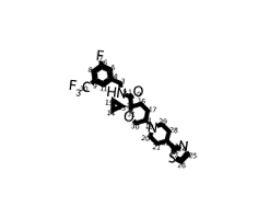 O=C(NCc1cc(F)cc(C(F)(F)F)c1)[C@@]1(C2CC2)CC[C@@H](N2CCC(c3nccs3)CC2)CO1